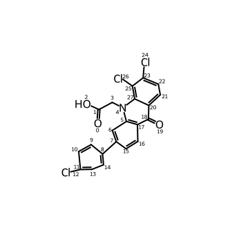 O=C(O)Cn1c2cc(-c3ccc(Cl)cc3)ccc2c(=O)c2ccc(Cl)c(Cl)c21